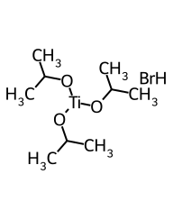 Br.CC(C)[O][Ti]([O]C(C)C)[O]C(C)C